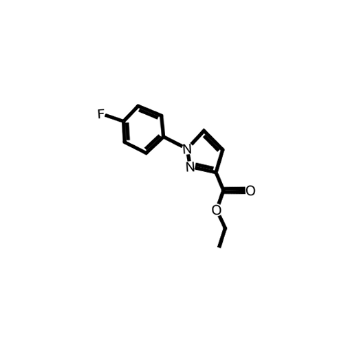 CCOC(=O)c1ccn(-c2ccc(F)cc2)n1